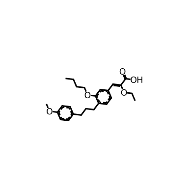 CCCCOc1cc(/C=C(\OCC)C(=O)O)ccc1CCCc1ccc(OC)cc1